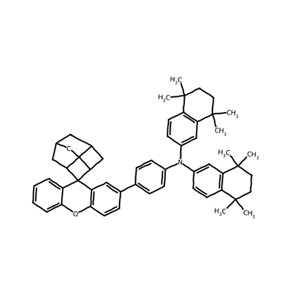 CC1(C)CCC(C)(C)c2cc(N(c3ccc(-c4ccc5c(c4)C4(c6ccccc6O5)C5CC6CC7CC4C75C6)cc3)c3ccc4c(c3)C(C)(C)CCC4(C)C)ccc21